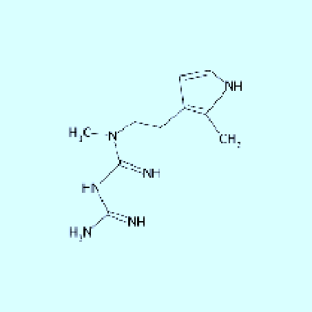 Cc1[nH]ccc1CCN(C)C(=N)NC(=N)N